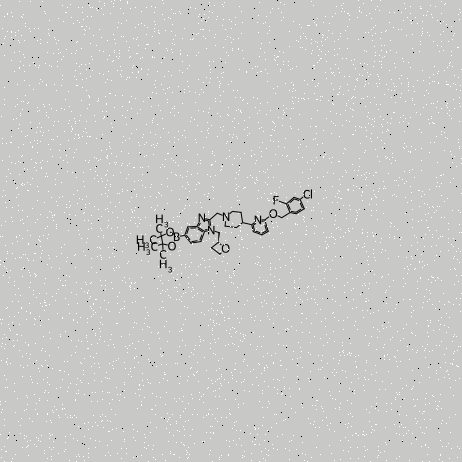 CC1(C)OB(c2ccc3c(c2)nc(CN2CCC(c4cccc(OCc5ccc(Cl)cc5F)n4)CC2)n3C[C@@H]2CCO2)OC1(C)C